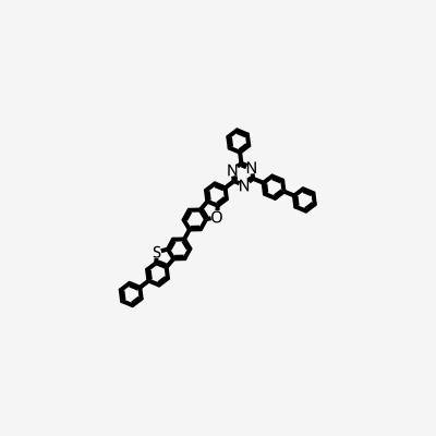 c1ccc(-c2ccc(-c3nc(-c4ccccc4)nc(-c4ccc5c(c4)oc4cc(-c6ccc7c(c6)sc6cc(-c8ccccc8)ccc67)ccc45)n3)cc2)cc1